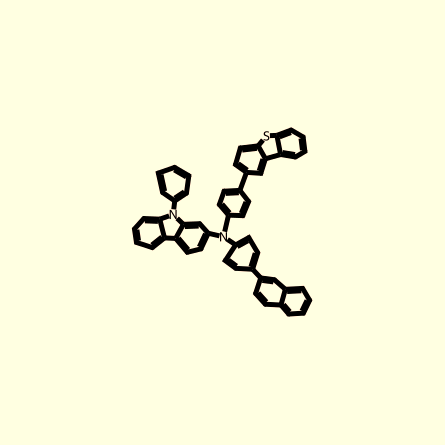 c1ccc(-n2c3ccccc3c3ccc(N(c4ccc(-c5ccc6ccccc6c5)cc4)c4ccc(-c5ccc6sc7ccccc7c6c5)cc4)cc32)cc1